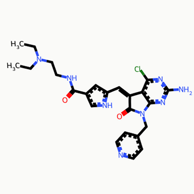 CCN(CC)CCNC(=O)c1c[nH]c(/C=C2\C(=O)N(Cc3ccncc3)c3nc(N)nc(Cl)c32)c1